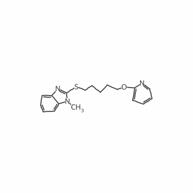 Cn1c(SCCCCCOc2ccccn2)nc2ccccc21